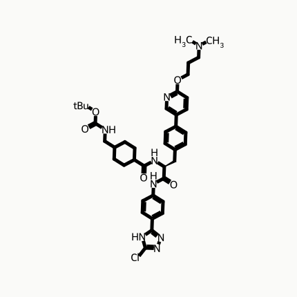 CN(C)CCCOc1ccc(-c2ccc(C[C@H](NC(=O)C3CCC(CNC(=O)OC(C)(C)C)CC3)C(=O)Nc3ccc(-c4nnc(Cl)[nH]4)cc3)cc2)cn1